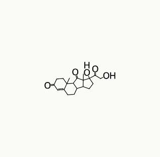 CC12CCC(=O)C=C1CCC1C2C(=O)C2(C)C1CCC2(O)C(=O)CO